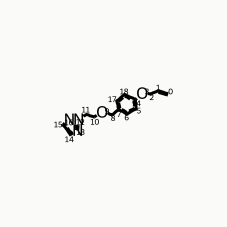 C=CCOc1ccc(COCCn2nccn2)cc1